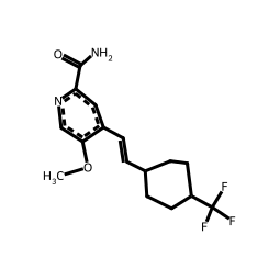 COc1cnc(C(N)=O)cc1C=CC1CCC(C(F)(F)F)CC1